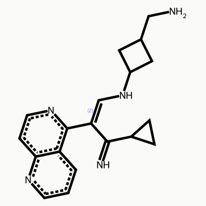 N=C(/C(=C\NC1CC(CN)C1)c1nccc2ncccc12)C1CC1